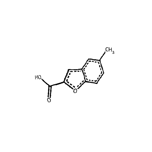 Cc1ccc2oc(C(=O)O)cc2c1